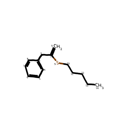 C=C(Cc1ccccc1)SCCCCC